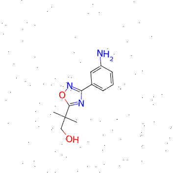 CC(C)(CO)c1nc(-c2cccc(N)c2)no1